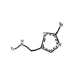 CCNCc1cnc(Br)s1